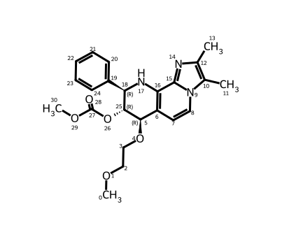 COCCO[C@@H]1c2ccn3c(C)c(C)nc3c2N[C@H](c2ccccc2)[C@H]1OC(=O)OC